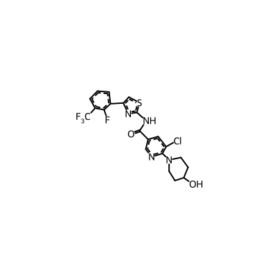 O=C(Nc1nc(-c2cccc(C(F)(F)F)c2F)cs1)c1cnc(N2CCC(O)CC2)c(Cl)c1